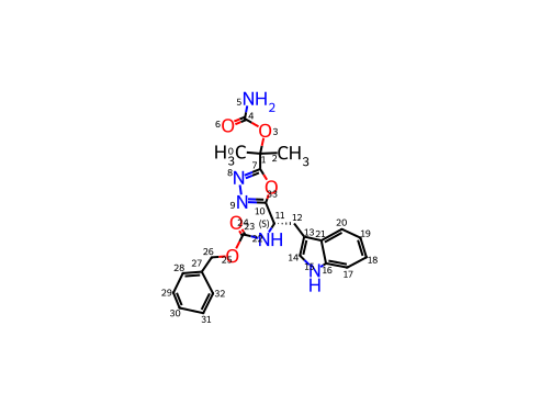 CC(C)(OC(N)=O)c1nnc([C@H](Cc2c[nH]c3ccccc23)NC(=O)OCc2ccccc2)o1